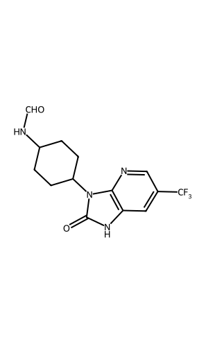 O=CNC1CCC(n2c(=O)[nH]c3cc(C(F)(F)F)cnc32)CC1